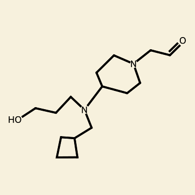 O=CCN1CCC(N(CCCO)CC2CCC2)CC1